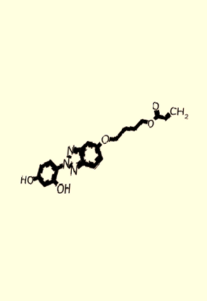 C=CC(=O)OCCCCOc1ccc2nn(-c3ccc(O)cc3O)nc2c1